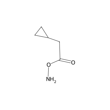 NOC(=O)CC1CC1